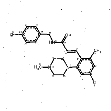 Cc1cc(Cl)cc(N2CCN(C)CC2)c1C=CC(=O)NCc1ccc(Cl)cc1